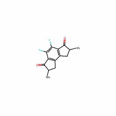 CCCC1Cc2c3c(c(F)c(F)c2C1=O)C(=O)C(CCC)C3